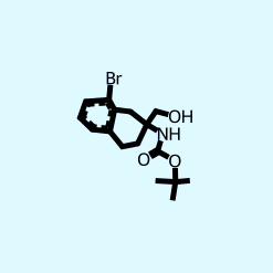 CC(C)(C)OC(=O)NC1(CO)CCc2cccc(Br)c2C1